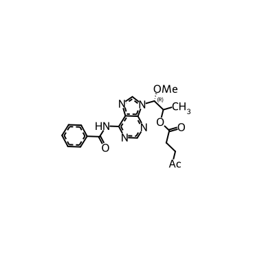 CO[C@H](C(C)OC(=O)CCC(C)=O)n1cnc2c(NC(=O)c3ccccc3)ncnc21